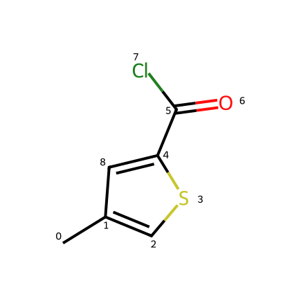 Cc1csc(C(=O)Cl)c1